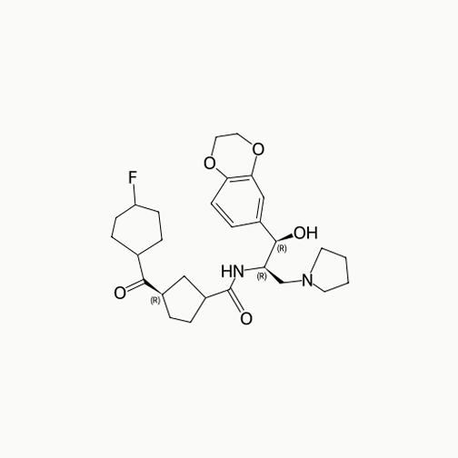 O=C(N[C@H](CN1CCCC1)[C@H](O)c1ccc2c(c1)OCCO2)C1CC[C@@H](C(=O)C2CCC(F)CC2)C1